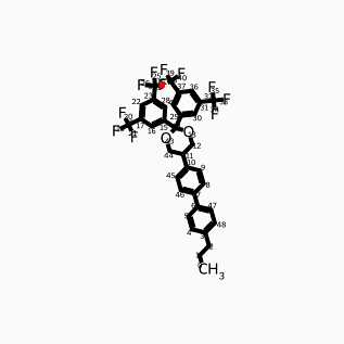 CCCc1ccc(-c2ccc(C3COC(c4cc(C(F)(F)F)cc(C(F)(F)F)c4)(c4cc(C(F)(F)F)cc(C(F)(F)F)c4)OC3)cc2)cc1